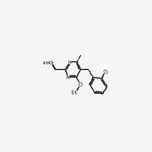 CCOc1nc(CO)nc(C)c1Cc1ccccc1Cl